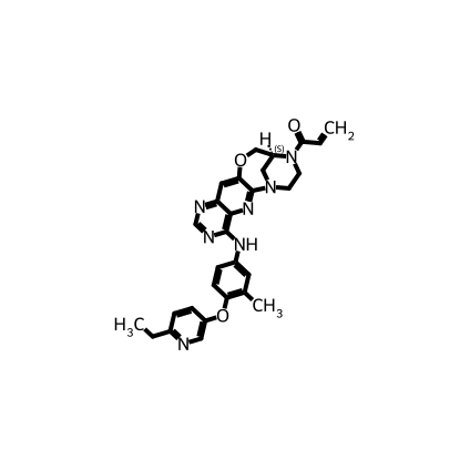 C=CC(=O)N1CCN2C[C@H]1COc1cc3ncnc(Nc4ccc(Oc5ccc(CC)nc5)c(C)c4)c3nc12